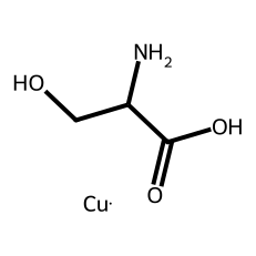 NC(CO)C(=O)O.[Cu]